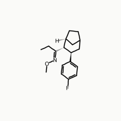 CCC(=NOC)[C@@H]1[C@H]2CCC(C2)C[C@H]1c1ccc(F)cc1